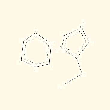 ICc1cscn1.c1ccccc1